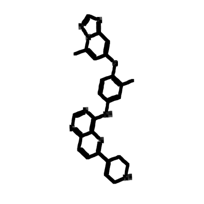 Cc1cc(Nc2ncnc3ccc(C4=CCNCC4)nc23)ccc1Oc1cc(C)n2ncnc2c1